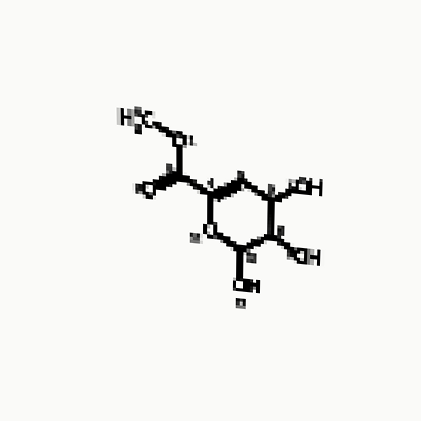 COC(=O)C1=CC(O)C(O)C(O)O1